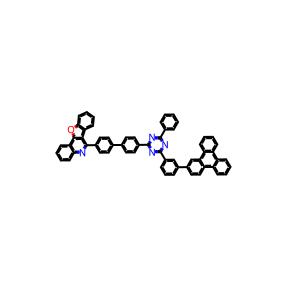 c1ccc(-c2nc(-c3ccc(-c4ccc(-c5nc6ccccc6c6oc7ccccc7c56)cc4)cc3)nc(-c3cccc(-c4ccc5c6ccccc6c6ccccc6c5c4)c3)n2)cc1